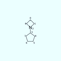 [CH]1CN(C2CCCC2)C1